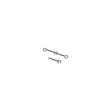 CCC.[Cl][Ni][Cl]